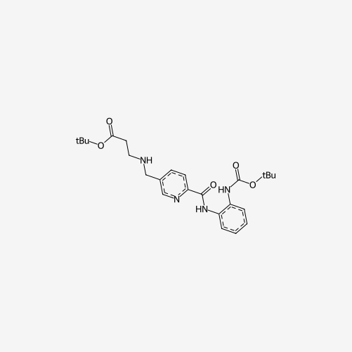 CC(C)(C)OC(=O)CCNCc1ccc(C(=O)Nc2ccccc2NC(=O)OC(C)(C)C)nc1